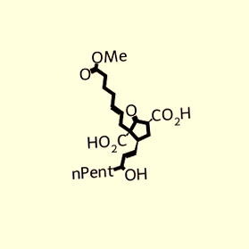 CCCCCC(O)C=C[C@@H]1C[C@@H](C(=O)O)C(=O)[C@@]1(CC=CCCCC(=O)OC)C(=O)O